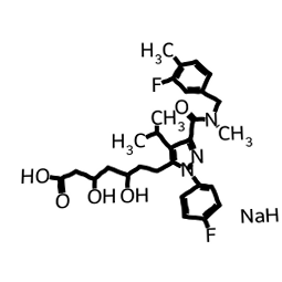 Cc1ccc(CN(C)C(=O)c2nn(-c3ccc(F)cc3)c(CCC(O)CC(O)CC(=O)O)c2C(C)C)cc1F.[NaH]